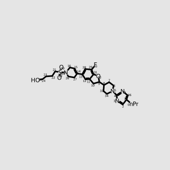 CCCc1cnc(N2CCC(C3Cc4cc(C5=CCN(S(=O)(=O)CCCCO)CC5)cc(F)c4O3)CC2)nc1